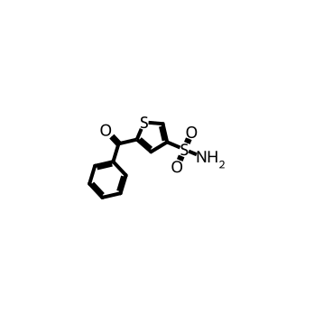 NS(=O)(=O)c1csc(C(=O)c2ccccc2)c1